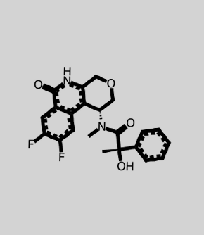 CN(C(=O)[C@@](C)(O)c1ccccc1)[C@H]1COCc2[nH]c(=O)c3cc(F)c(F)cc3c21